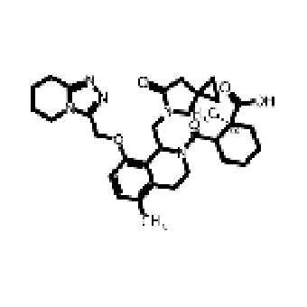 Cc1ccc(OCc2nnc3n2CCCC3)c2c1CCN(C(=O)C1CCCC[C@]1(C)C(=O)O)C2CN1CC2(CC2)CC1=O